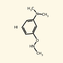 CNOc1cccc(N(C)C)c1.I